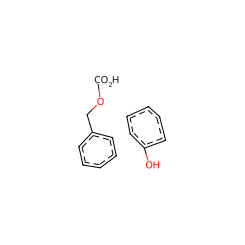 O=C(O)OCc1ccccc1.Oc1ccccc1